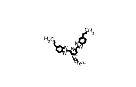 CCCC1=CC2=NC(c3cccc(C4=NC5C=CC(CCC)=CC5=N4)n3)=NC2C=C1.[Cl-].[Cl-].[Cl-].[Fe+3]